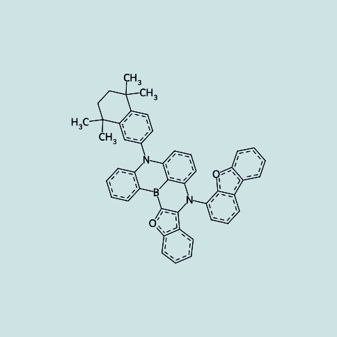 CC1(C)CCC(C)(C)c2cc(N3c4ccccc4B4c5oc6ccccc6c5N(c5cccc6c5oc5ccccc56)c5cccc3c54)ccc21